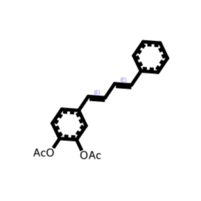 CC(=O)Oc1ccc(/C=C/C=C/c2ccccc2)cc1OC(C)=O